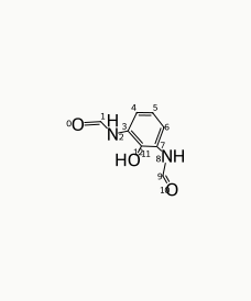 O=CNc1cccc(NC=O)c1O